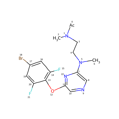 CC(=O)N(C)CCN(C)c1cncc(Oc2c(F)cc(Br)cc2F)n1